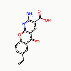 C=Cc1ccc2oc3nc(N)c(C(=O)O)cc3c(=O)c2c1